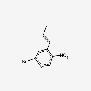 O=[N+]([O-])c1cnc(Br)cc1C=CI